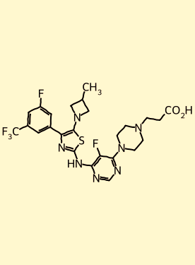 CC1CN(c2sc(Nc3ncnc(N4CCN(CCC(=O)O)CC4)c3F)nc2-c2cc(F)cc(C(F)(F)F)c2)C1